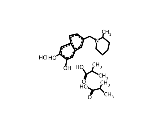 CC(C)C(=O)O.CC(C)C(=O)O.CC1CCCCN1Cc1ccc2cc(O)c(O)cc2c1.Cl